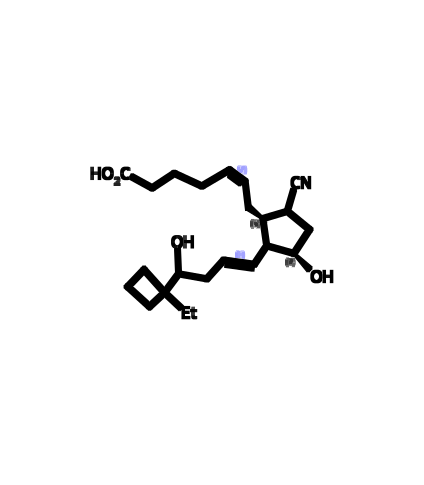 CCC1(C(O)C/C=C/C2[C@@H](C/C=C\CCCC(=O)O)C(C#N)C[C@H]2O)CCC1